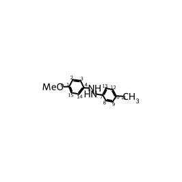 COc1ccc(NNc2ccc(C)cc2)cc1